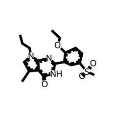 CCCn1cc(C)c2c(=O)[nH]c(-c3cc(S(C)(=O)=O)ccc3OCC)nc21